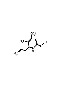 C=CC[C@H](NC(=O)OC(C)(C)C)C(C)=CC(=O)O